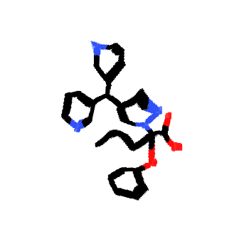 CCCC(Oc1ccccc1)(C(=O)O)n1cc(C(c2cccnc2)c2cccnc2)cn1